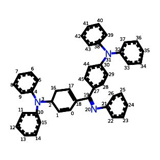 C1=CC(N(c2ccccc2)c2ccccc2)CC=C1/C(=N/c1ccccc1)c1ccc(N(c2ccccc2)c2ccccc2)cc1